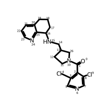 O=C(c1c(Cl)cncc1Cl)N1CCC(CNC2CCCc3cccnc32)C1